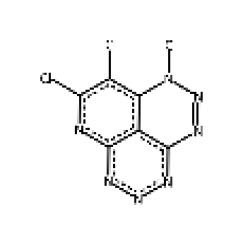 Clc1nc2nnnc3c2c(c1Cl)N(Cl)N=N3